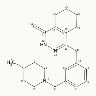 CC1CCN(Cc2cccc(Cc3n[nH]c(=O)c4c3CCCC4)c2)CC1